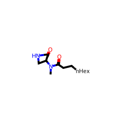 CCCCCCCCC(=O)N(C)C1CNC1=O